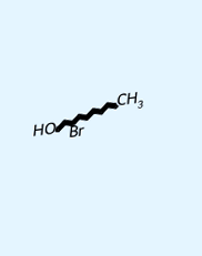 CCCCCCCC(Br)CCO